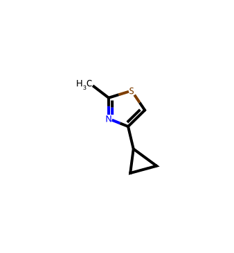 Cc1nc(C2CC2)cs1